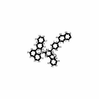 c1ccc2cc(-c3ccc(-c4nc(N5c6cc7ccccc7cc6-c6cccc7cccc5c67)nc5c4oc4ccccc45)cc3)ccc2c1